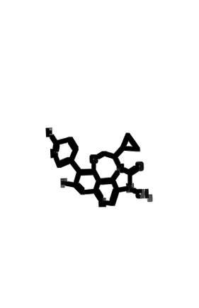 Cn1c(=O)n2c3c4c(c(-c5ccc(F)nc5)c(F)cc4ncc31)OCC2C1CC1